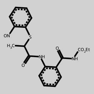 CCOC(=O)NC(=O)c1ccccc1NC(=O)C(C)Sc1ccccc1N=O